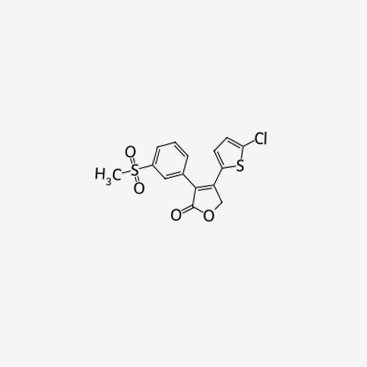 CS(=O)(=O)c1cccc(C2=C(c3ccc(Cl)s3)COC2=O)c1